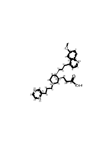 COc1ccc2nccc(CCC[C@@H]3CCN(CCCc4cnccn4)C[C@@H]3CCC(=O)O)c2c1